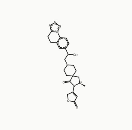 C[C@@H]1CC2(CCN(CC(O)c3ccc4c(c3)CCc3nnnn3-4)CC2)C(=O)N1C1=CC(=O)OC1